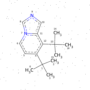 CC(C)(C)c1ccn2cncc2c1C(C)(C)C